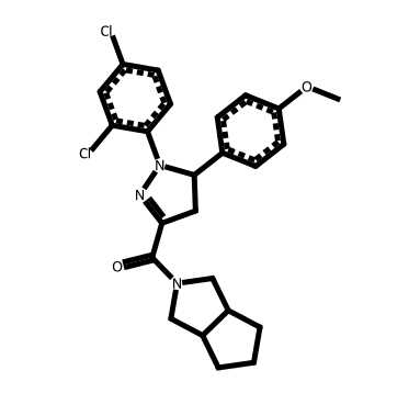 COc1ccc(C2CC(C(=O)N3CC4CCCC4C3)=NN2c2ccc(Cl)cc2Cl)cc1